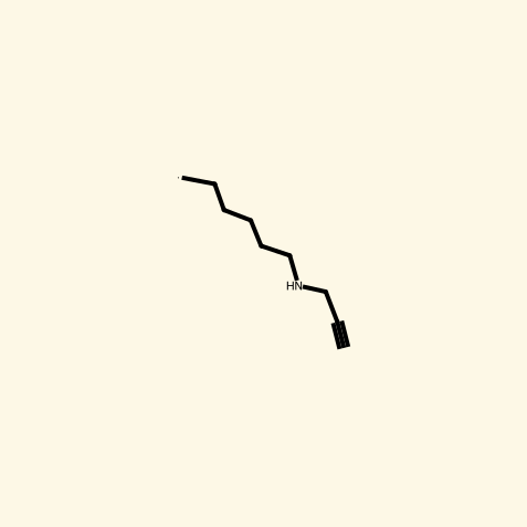 C#CCNCCCCC[CH2]